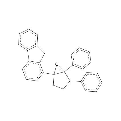 c1ccc(C2CCC3(c4cccc5c4Cc4ccccc4-5)OC23c2ccccc2)cc1